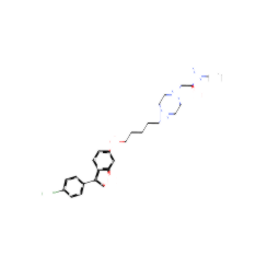 CC(C)N(C)C(=O)CN1CCN(CCCCCOc2ccc3c(-c4ccc(Cl)cc4)coc3c2)CC1